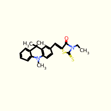 CCN1C(=O)/C(=C/c2ccc3c(c2)C(C)(C)c2ccccc2N3C)SC1=S